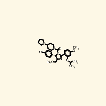 CCC1N=C(c2ccc(OC)cc2OC(C)C)N(C(=O)N2CCC(N3CCCC3)CC2)[C@H]1c1ccc(Cl)cc1